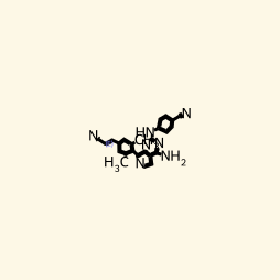 Cc1cc(/C=C/C#N)cc(C)c1-c1nccc2c(N)nc(Nc3ccc(C#N)cc3)nc12